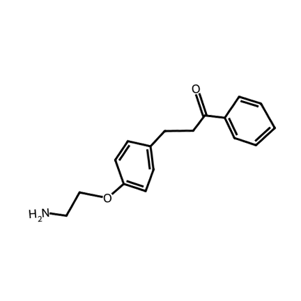 NCCOc1ccc(CCC(=O)c2ccccc2)cc1